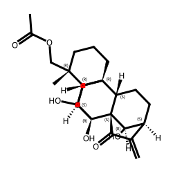 C=C1C(=O)[C@]23[C@H](O)[C@H]1CC[C@H]2[C@]12CCC[C@@](C)(COC(C)=O)[C@H]1[C@H](O)[C@]3(O)OC2